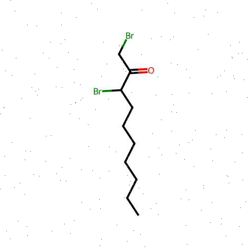 CCCCCCCC(Br)C(=O)CBr